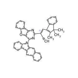 C#C/C(=C\C1=C(C)C(C)(C)c2ccccc21)c1nc(-n2c3ccccc3c3cc4ccccc4cc32)c2oc3ccccc3c2n1